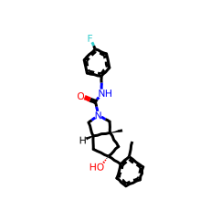 Cc1ccccc1[C@@]1(O)C[C@@H]2CN(C(=O)Nc3ccc(F)cc3)C[C@]2(C)C1